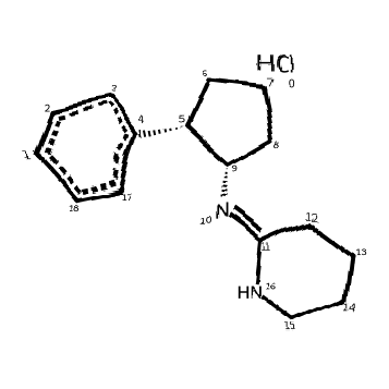 Cl.c1ccc([C@@H]2CCC[C@@H]2/N=C2\CCCCN2)cc1